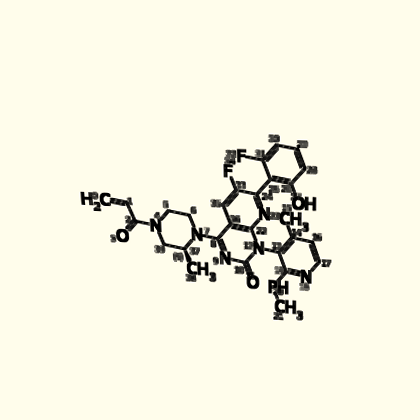 C=CC(=O)N1CCN(c2nc(=O)n(-c3c(C)ccnc3PC)c3nc(-c4c(O)cccc4F)c(F)cc23)[C@@H](C)C1